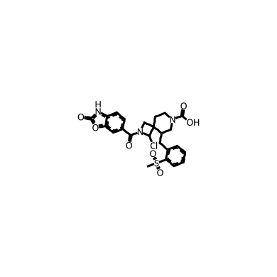 CS(=O)(=O)c1ccccc1CC1CN(C(=O)O)CCC12CN(C(=O)c1ccc3[nH]c(=O)oc3c1)C2Cl